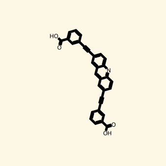 O=C(O)c1cccc(C#Cc2ccc3nc4ccc(C#Cc5cccc(C(=O)O)c5)cc4cc3c2)c1